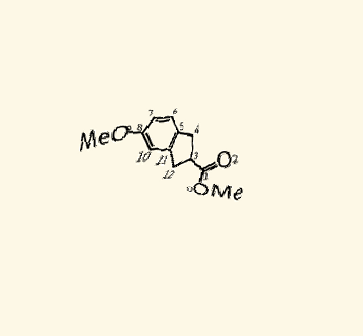 COC(=O)C1Cc2ccc(OC)cc2C1